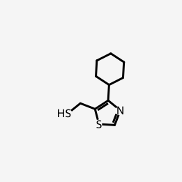 SCc1scnc1C1CCCCC1